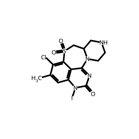 Cc1cc2c3c(nc(=O)n2I)N2CCNCC2CS(=O)(=O)c3c1Cl